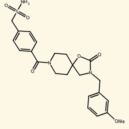 COc1cccc(CN2CC3(CCN(C(=O)c4ccc(CS(N)(=O)=O)cc4)CC3)OC2=O)c1